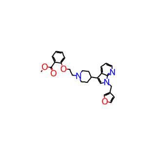 COC(=O)c1ccccc1OCCN1CCC(c2cn(Cc3ccoc3)c3ncccc23)CC1